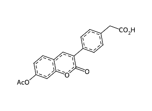 CC(=O)Oc1ccc2cc(-c3ccc(CC(=O)O)cc3)c(=O)oc2c1